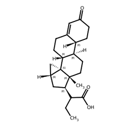 CCC(C(=O)O)[C@H]1C[C@@H]2C[C@@]23[C@@H]2CCC4=CC(=O)CC[C@@H]4[C@H]2CC[C@]13C